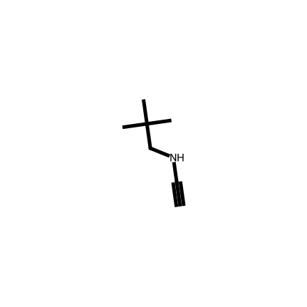 C#CNCC(C)(C)C